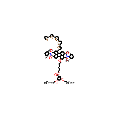 CCCCCCCCCCCCOc1cc(OCCCCCCCCCCCC)cc(C(=O)OCCCCCCOc2cc3c4c(ccc5c6c(-c7ccc(-c8ccc(-c9ccc(-c%10ccc(-c%11cccs%11)s%10)s9)s8)s7)cc7c8c(ccc(c2c45)c86)C(=O)N(c2c(C(C)C)cccc2C(C)C)C7=O)C(=O)N(c2c(C(C)C)cccc2C(C)C)C3=O)c1